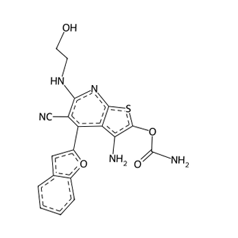 N#Cc1c(NCCO)nc2sc(OC(N)=O)c(N)c2c1-c1cc2ccccc2o1